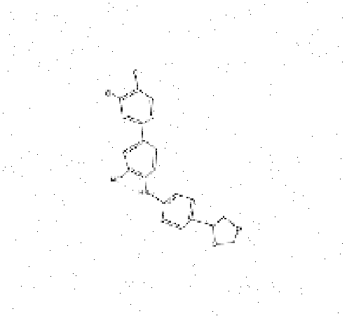 N#Cc1cc(-c2ccc(Cl)c(Cl)c2)ccc1Nc1ccc(C2COCO2)cc1